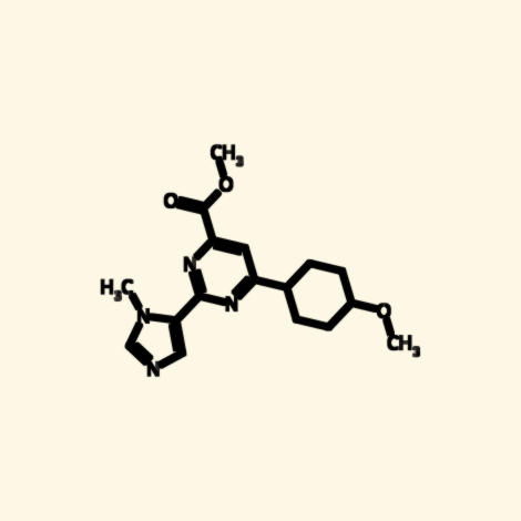 COC(=O)c1cc(C2CCC(OC)CC2)nc(-c2cncn2C)n1